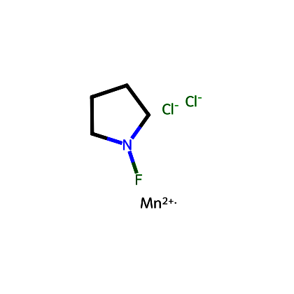 FN1CCCC1.[Cl-].[Cl-].[Mn+2]